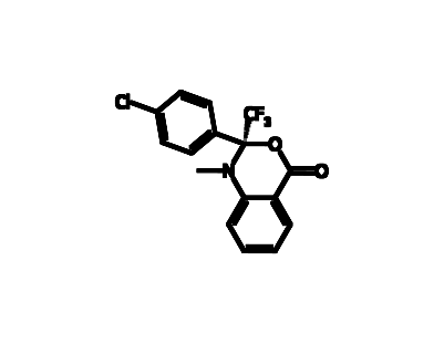 CN1c2ccccc2C(=O)O[C@@]1(c1ccc(Cl)cc1)C(F)(F)F